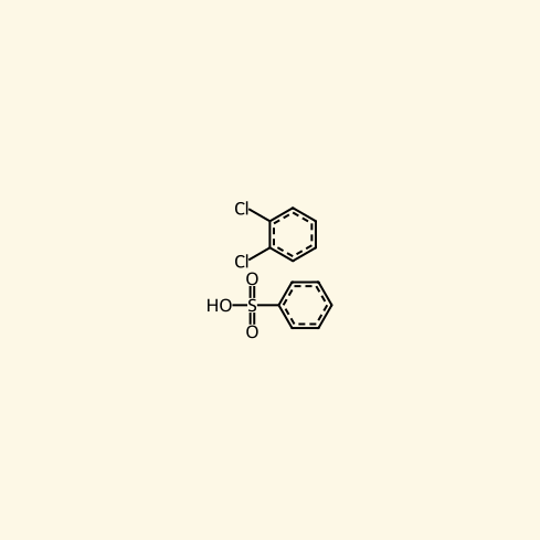 Clc1ccccc1Cl.O=S(=O)(O)c1ccccc1